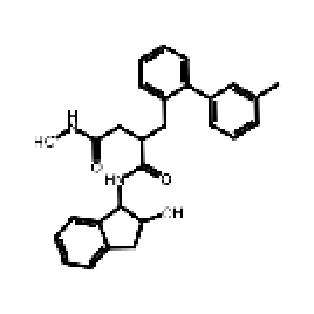 Cc1cccc(-c2ccccc2CC(CC(=O)NO)C(=O)NC2c3ccccc3CC2O)c1